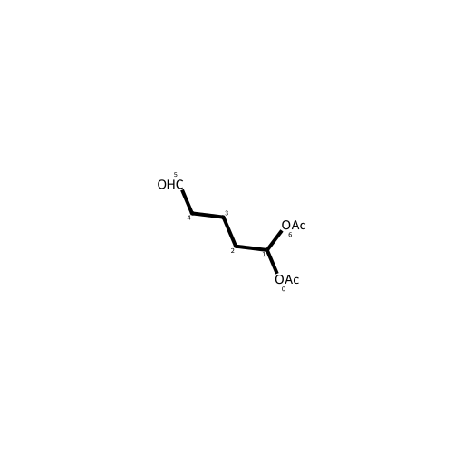 CC(=O)OC(CCCC=O)OC(C)=O